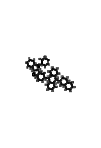 c1ccc(-n2c3ccccc3c3oc4ccc(-c5c6ccccc6c(-c6ccc7ccccc7c6)c6ccccc56)cc4c32)cc1